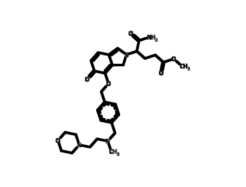 COC(=O)CCC(C(N)=O)N1C=C2C=CC(=O)C(OCc3ccc(CN(C)CCN4CCOCC4)cc3)=C2C1